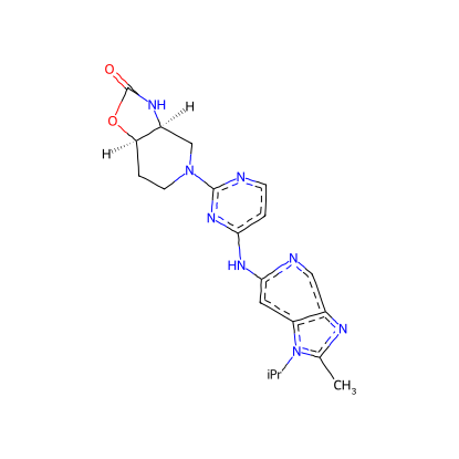 Cc1nc2cnc(Nc3ccnc(N4CC[C@H]5OC(=O)N[C@H]5C4)n3)cc2n1C(C)C